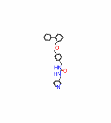 O=C(NCc1ccc(COCc2ccccc2-c2ccccc2)cc1)NCc1cccnc1